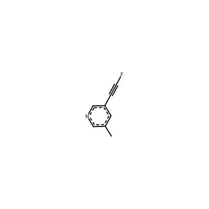 Cc1cncc(C#CF)c1